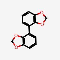 [C]1Oc2cccc(-c3cccc4c3OCO4)c2O1